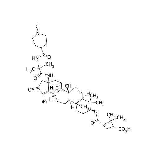 CC(C)C1=C2[C@H]3CC[C@@H]4[C@@]5(C)CC[C@H](OC(=O)[C@H]6C[C@@H](C(=O)O)C6(C)C)C(C)(C)[C@@H]5CC[C@@]4(C)[C@]3(C)CC[C@@]2(NC(=O)C(C)(C)NC(=O)C2CCN(Cl)CC2)CC1=O